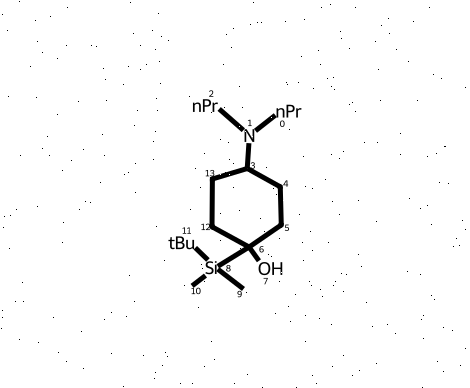 CCCN(CCC)C1CCC(O)([Si](C)(C)C(C)(C)C)CC1